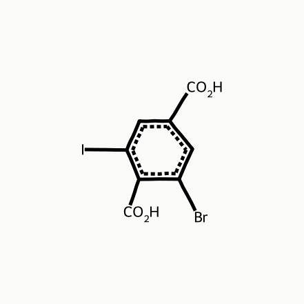 O=C(O)c1cc(Br)c(C(=O)O)c(I)c1